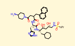 CCCS(=O)(=O)NC[C@@H](O)C[C@H](O)[C@H](CC1CCCCC1)NC(=O)[C@H](Cc1c[nH]cn1)NC(=O)C(CC(=O)N1CCC(N)CC1)Cc1cccc2ccccc12